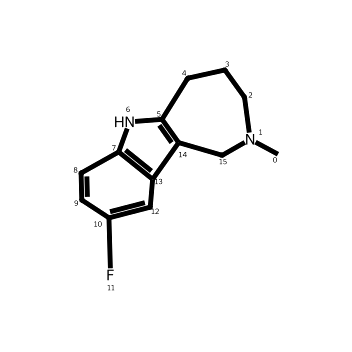 CN1CCCc2[nH]c3ccc(F)cc3c2C1